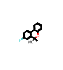 CC1(C#N)Oc2ccccc2-c2ccc(F)cc21